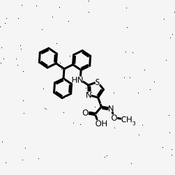 CON=C(C(=O)O)c1csc(Nc2ccccc2C(c2ccccc2)c2ccccc2)n1